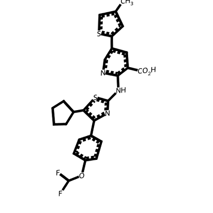 Cc1csc(-c2cnc(Nc3nc(-c4ccc(OC(F)F)cc4)c(C4CCCC4)s3)c(C(=O)O)c2)c1